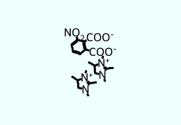 CC1=[N+](C)C(C)CN1C.CC1=[N+](C)C(C)CN1C.O=C([O-])c1cccc([N+](=O)[O-])c1C(=O)[O-]